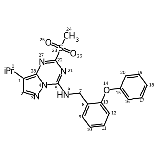 CC(C)c1cnn2c(NCc3ccccc3Oc3ccccc3)nc(S(C)(=O)=O)nc12